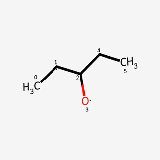 C[CH]C([O])CC